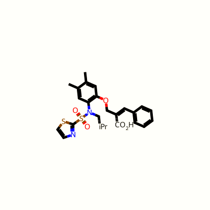 Cc1cc(OCC(=Cc2ccccc2)C(=O)O)c(N(CC(C)C)S(=O)(=O)c2nccs2)cc1C